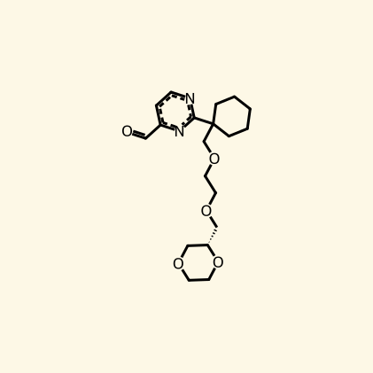 O=Cc1ccnc(C2(COCCOC[C@H]3COCCO3)CCCCC2)n1